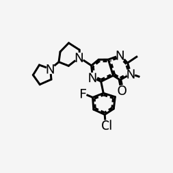 Cc1nc2cc(N3CCCC(N4CCCC4)C3)nc(-c3ccc(Cl)cc3F)c2c(=O)n1C